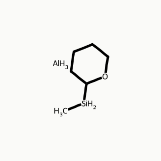 C[SiH2]C1CCCCO1.[AlH3]